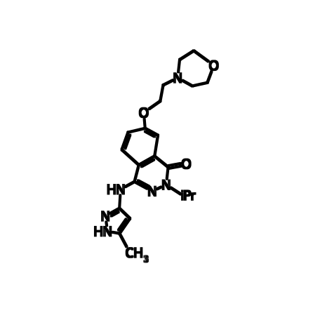 Cc1cc(Nc2nn(C(C)C)c(=O)c3cc(OCCN4CCOCC4)ccc23)n[nH]1